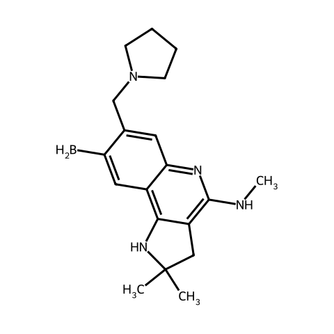 Bc1cc2c3c(c(NC)nc2cc1CN1CCCC1)CC(C)(C)N3